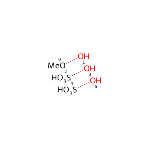 COO.O=S(=O)(O)O.O=S(=O)(O)O